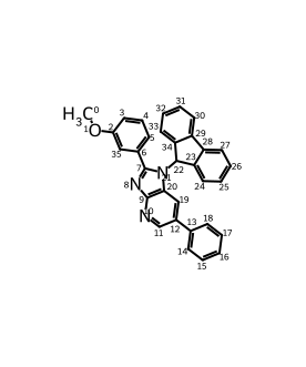 COc1cccc(-c2nc3ncc(-c4ccccc4)cc3n2C2c3ccccc3-c3ccccc32)c1